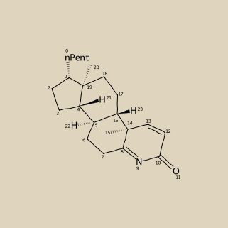 CCCCC[C@H]1CC[C@H]2[C@@H]3CCC4=NC(=O)C=C[C@]4(C)[C@H]3CC[C@]12C